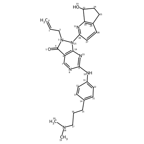 C=CCn1c(=O)c2cnc(Nc3ccc(CCCN(C)C)cc3)nc2n1-c1ccc2c(n1)C(O)CC2